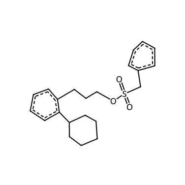 O=S(=O)(Cc1ccccc1)OCCCc1ccccc1C1CCCCC1